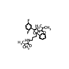 CC(C)C(=O)NCCCC1(c2ccccc2)OC(c2cc(F)ccc2F)=NN1C(=O)C(C)C